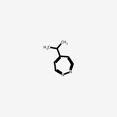 CC(C)C1=CC=NN=C=C1